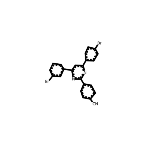 N#Cc1ccc(-c2nc(-c3ccc(Br)cc3)cc(-c3cccc(Br)c3)n2)cc1